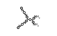 Nc1ccc(C(c2ccc(N)cc2)C2CCC(C(c3ccc(/N=C/C4CCC(/C=N/c5ccccc5)CC4)cc3)c3ccc(/N=C/C4CCC(/C=N/c5ccccc5)CC4)cc3)CC2)cc1